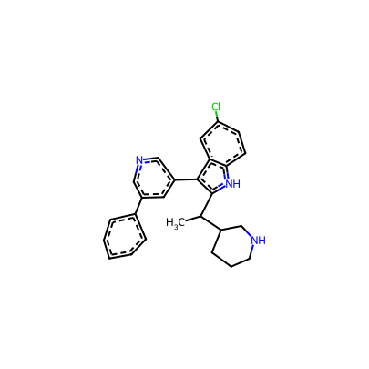 CC(c1[nH]c2ccc(Cl)cc2c1-c1cncc(-c2ccccc2)c1)C1CCCNC1